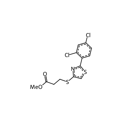 COC(=O)CCSc1csc(-c2ccc(Cl)cc2Cl)n1